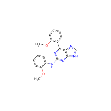 COc1ccccc1Nc1nc(-c2ccccc2OC)c2nc[nH]c2n1